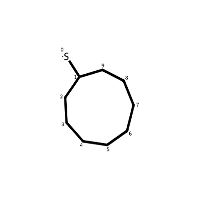 [S]C1CCCCCCCC1